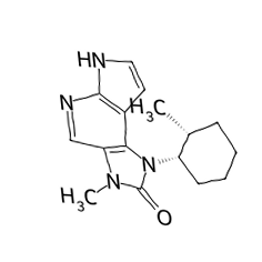 C[C@@H]1CCCC[C@@H]1n1c(=O)n(C)c2cnc3[nH]ccc3c21